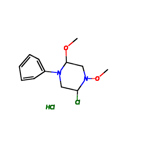 COC1CN(OC)C(Cl)CN1c1ccccc1.Cl